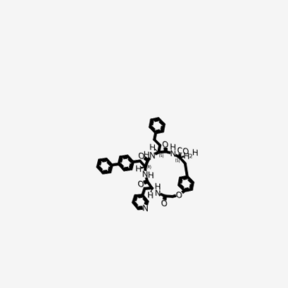 O=C1COc2ccc(cc2)C[C@@H](C(=O)O)NC(=O)[C@H](CCc2ccccc2)NC(=O)[C@@H](Cc2ccc(-c3ccccc3)cc2)NC(=O)[C@H](Cc2cccnc2)N1